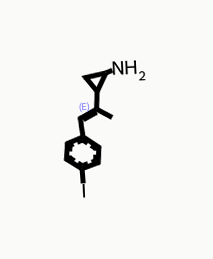 C/C(=C\c1ccc(I)cc1)C1CC1N